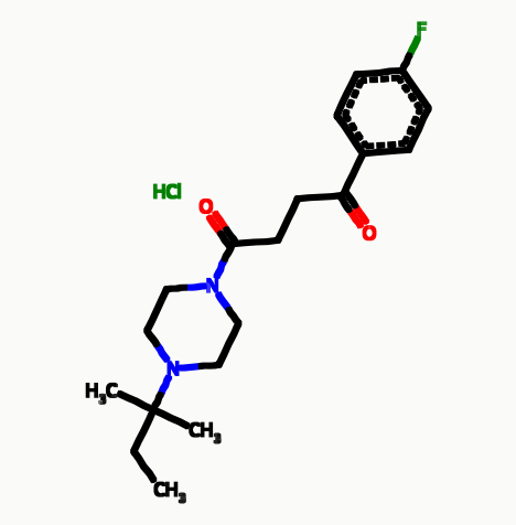 CCC(C)(C)N1CCN(C(=O)CCC(=O)c2ccc(F)cc2)CC1.Cl